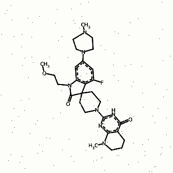 COCCN1C(=O)C2(CCN(c3nc4c(c(=O)[nH]3)CCCN4C)CC2)c2c(F)cc(N3CCN(C)CC3)cc21